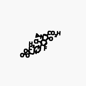 Cc1oc(=O)oc1CN1CCN(c2c(F)cc3c(=O)c(C(=O)O)cn(C4CC4)c3c2Cl)CC1